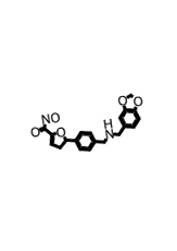 O=NC(=O)C1=CCC(c2ccc(CNCc3ccc4c(c3)OCO4)cc2)O1